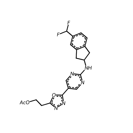 CC(=O)OCCc1nnc(-c2cnc(NC3Cc4ccc(C(F)F)cc4C3)nc2)o1